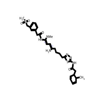 CN/C(=C\C=C(/N)CCCCc1nnc(NC(=O)CC2C=CC=CC2C)s1)NC(=O)Cc1cccc(CS(C)(=O)=O)c1